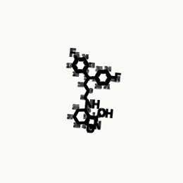 Oc1noc2c1[C@H](NCCCC(c1ccc(F)cc1)c1ccc(F)cc1)CCC2